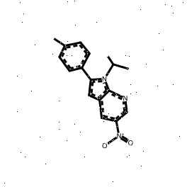 Cc1ccc(-c2cc3cc([N+](=O)[O-])cnc3n2C(C)C)cc1